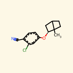 CC12CCC1C[C@@H]2Oc1ccc(C#N)c(Cl)c1